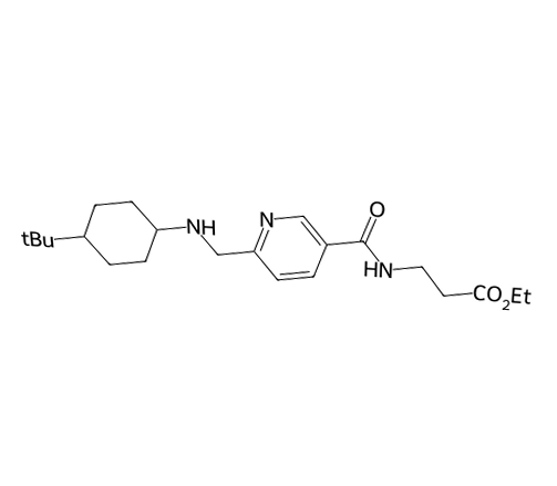 CCOC(=O)CCNC(=O)c1ccc(CNC2CCC(C(C)(C)C)CC2)nc1